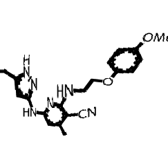 COc1ccc(OCCNc2nc(Nc3cc(C)[nH]n3)cc(C)c2C#N)cc1